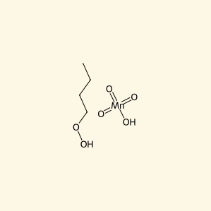 CCCCOO.[O]=[Mn](=[O])(=[O])[OH]